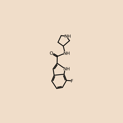 O=C(NC1CCNC1)c1cc2cccc(F)c2[nH]1